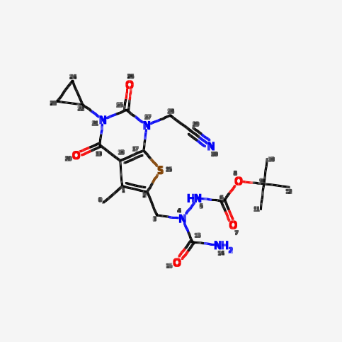 Cc1c(CN(NC(=O)OC(C)(C)C)C(N)=O)sc2c1c(=O)n(C1CC1)c(=O)n2CC#N